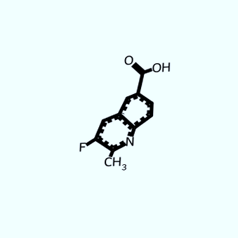 Cc1nc2ccc(C(=O)O)cc2cc1F